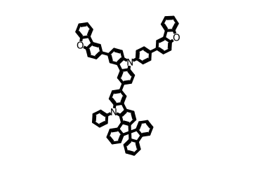 c1ccc(-n2c3ccc(-c4ccc5c(c4)c4cc(-c6ccc7oc8ccccc8c7c6)ccc4n5-c4ccc(-c5ccc6oc7ccccc7c6c5)cc4)cc3c3ccc4c(c32)-c2ccccc2C42c3ccccc3-c3ccccc32)cc1